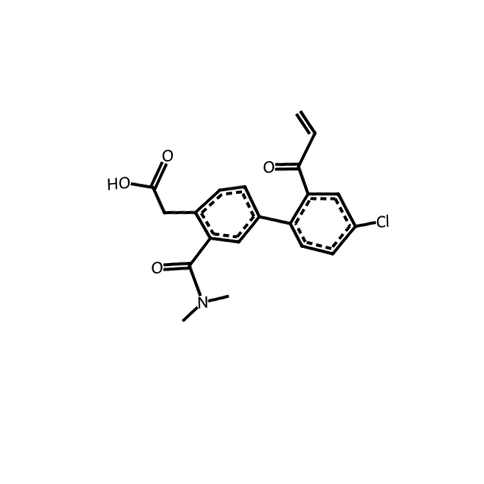 C=CC(=O)c1cc(Cl)ccc1-c1ccc(CC(=O)O)c(C(=O)N(C)C)c1